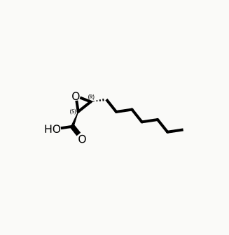 CCCCCCC[C@H]1O[C@@H]1C(=O)O